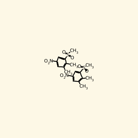 Cc1cc([N+](=O)[O-])cc(S(C)(=O)=O)c1C.Cc1cc([N+](=O)[O-])cc(S(C)(=O)=O)c1C